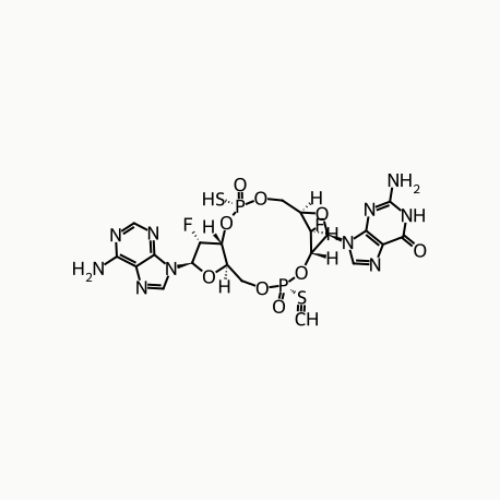 C#S[P@]1(=O)OC[C@H]2O[C@@H](n3cnc4c(N)ncnc43)[C@H](F)[C@@H]2O[P@](=O)(S)OC[C@H]2O[C@@H](n3cnc4c(=O)[nH]c(N)nc43)[C@H](O1)[C@@H]2F